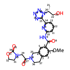 COc1cc2c(cc1C(=O)Nc1cccc(-c3nnnn3[C@H](C)CO)n1)CN(C(=O)CN1CCOC1=O)CC2